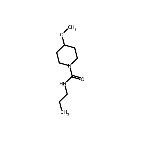 CCCNC(=O)N1CCC(OC)CC1